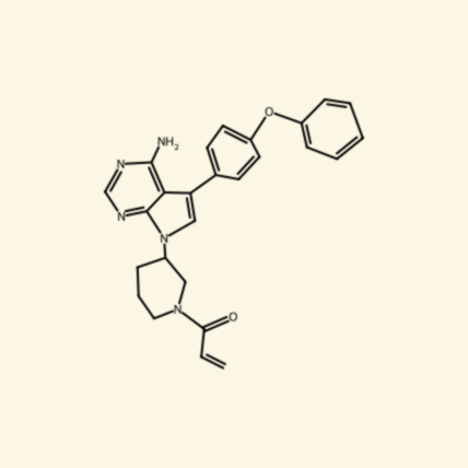 C=CC(=O)N1CCCC(n2cc(-c3ccc(Oc4ccccc4)cc3)c3c(N)ncnc32)C1